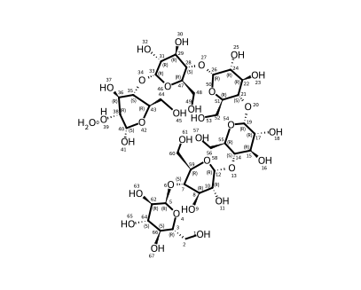 O.OC[C@H]1O[C@H](O[C@H]2[C@H](O)[C@@H](O)[C@@H](O[C@H]3[C@H](O)[C@@H](O)[C@@H](O[C@H]4[C@H](O)[C@@H](O)[C@@H](O[C@H]5[C@H](O)[C@@H](O)[C@@H](O[C@H]6[C@H](O)[C@@H](O)[C@@H](O)O[C@@H]6CO)O[C@@H]5CO)O[C@@H]4CO)O[C@@H]3CO)O[C@@H]2CO)[C@H](O)[C@@H](O)[C@@H]1O